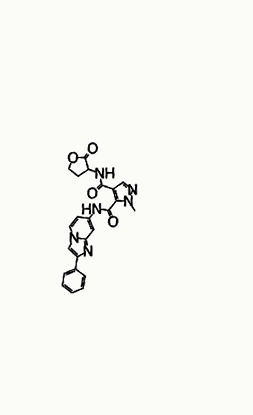 Cn1ncc(C(=O)NC2CCOC2=O)c1C(=O)Nc1ccn2cc(-c3ccccc3)nc2c1